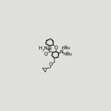 CCCCN(CCCC)c1cc(COCC2CC2)cc(S(N)(=O)=O)c1Oc1ccccc1